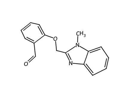 Cn1c(COc2ccccc2C=O)nc2ccccc21